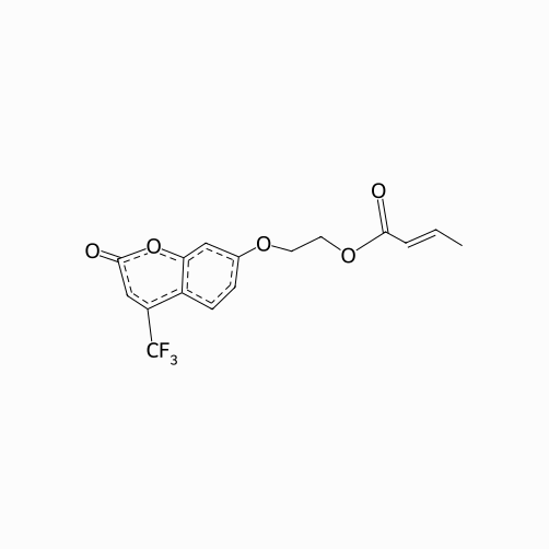 CC=CC(=O)OCCOc1ccc2c(C(F)(F)F)cc(=O)oc2c1